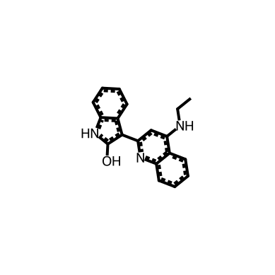 CCNc1cc(-c2c(O)[nH]c3ccccc23)nc2ccccc12